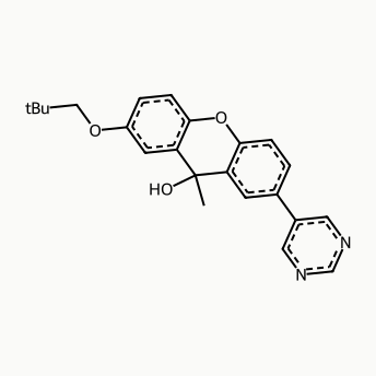 CC(C)(C)COc1ccc2c(c1)C(C)(O)c1cc(-c3cncnc3)ccc1O2